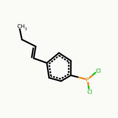 CCC=Cc1ccc(P(Cl)Cl)cc1